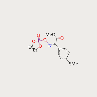 CCOP(=O)(OCC)ON=C(C(=O)OC)c1ccc(SC)cc1